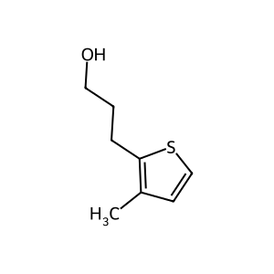 Cc1ccsc1CCCO